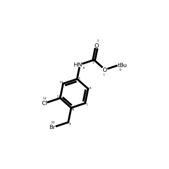 CC(C)(C)OC(=O)Nc1ccc(CBr)c(Cl)c1